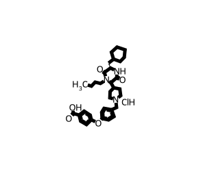 CCCCN1C(=O)[C@H](CC2CCCCC2)NC(=O)C1C1CCN(Cc2ccc(Oc3ccc(C(=O)O)cc3)cc2)CC1.Cl